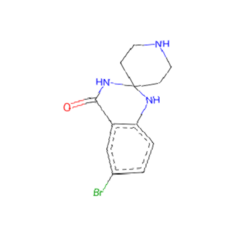 O=C1NC2(CCNCC2)Nc2ccc(Br)cc21